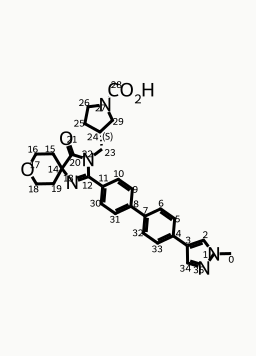 Cn1cc(-c2ccc(-c3ccc(C4=NC5(CCOCC5)C(=O)N4C[C@@H]4CCN(C(=O)O)C4)cc3)cc2)cn1